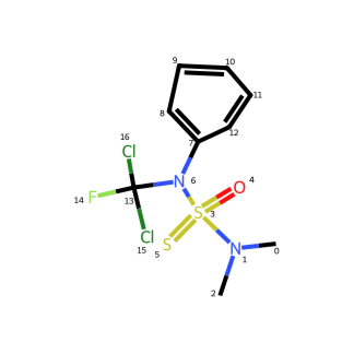 CN(C)S(=O)(=S)N(c1ccccc1)C(F)(Cl)Cl